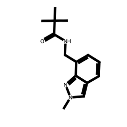 Cn1cc2cccc(CNC(=O)C(C)(C)C)c2n1